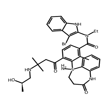 CCN(C(=O)c1ccc(C(=O)CC(C)(C)NC[C@@H](C)O)c(S2(N)CCC(=O)Nc3ccccc32)c1C)c1[nH]c2ccccc2c1Br